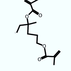 [CH2]CC(C)(CCCOC(=O)C(=C)C)OC(=O)C(=C)C